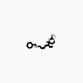 C=C/C(=C\C=C/CNCC1CCCCC1)C1(C)CCSC(N)=N1